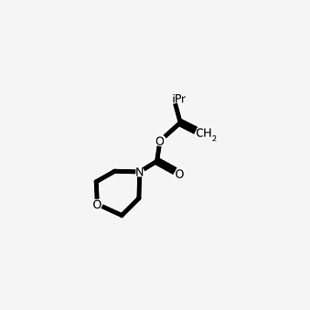 C=C(OC(=O)N1CCOCC1)C(C)C